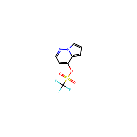 O=S(=O)(Oc1ccnn2cccc12)C(F)(F)F